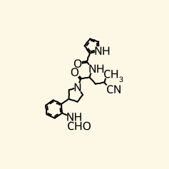 CC(C#N)CC(NC(=O)c1ccc[nH]1)C(=O)N1CCC(c2ccccc2NC=O)C1